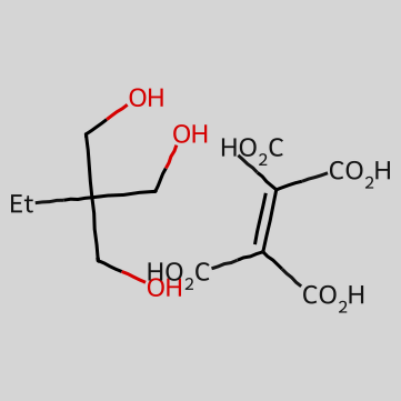 CCC(CO)(CO)CO.O=C(O)C(C(=O)O)=C(C(=O)O)C(=O)O